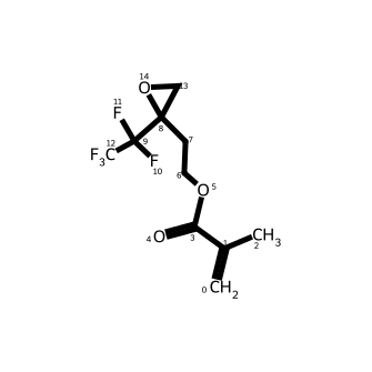 C=C(C)C(=O)OCCC1(C(F)(F)C(F)(F)F)CO1